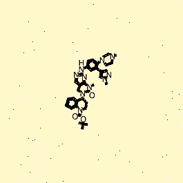 CN1CCN(c2ccc(Nc3ncc4c(n3)N(C)C(=O)N(C3CCN(C(=O)OC(C)(C)C)c5ccccc53)C4)cc2-c2cnn(C)c2)CC1